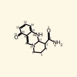 NC(=O)C1CCCN2C=C3C(=O)C=CC=C3NC12